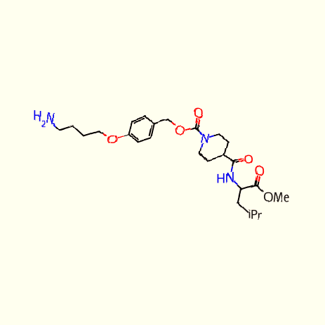 COC(=O)C(CC(C)C)NC(=O)C1CCN(C(=O)OCc2ccc(OCCCCN)cc2)CC1